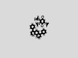 O=C1C=C(N2CC2)C(=O)C(N2CC2)=C1N1CC1.[Ru].c1ccc(-c2ccnc3c2ccc2c(-c4ccccc4)ccnc23)cc1